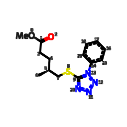 COC(=O)CC[C@H](C)CSc1nnnn1-c1ccccc1